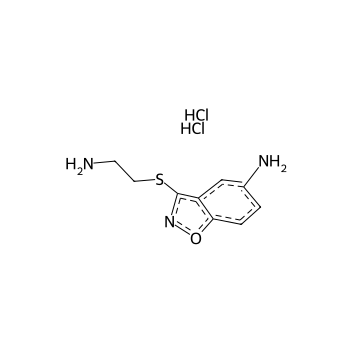 Cl.Cl.NCCSc1noc2ccc(N)cc12